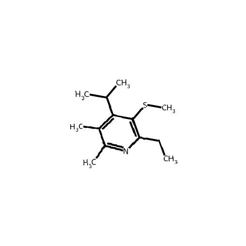 CCc1nc(C)c(C)c(C(C)C)c1SC